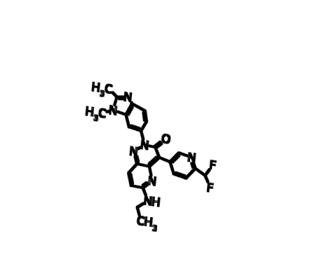 CCNc1ccc2nn(-c3ccc4nc(C)n(C)c4c3)c(=O)c(-c3ccc(C(F)F)nc3)c2n1